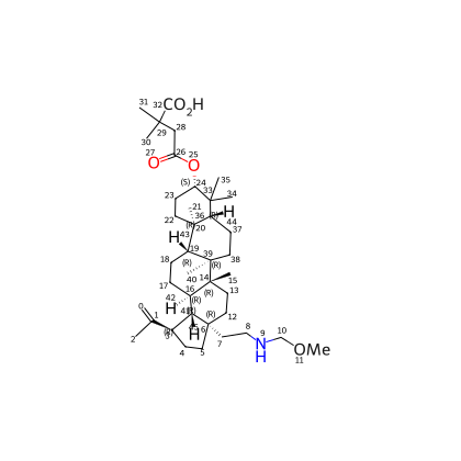 C=C(C)[C@@H]1CC[C@]2(CCNCOC)CC[C@]3(C)[C@H](CC[C@@H]4[C@@]5(C)CC[C@H](OC(=O)CC(C)(C)C(=O)O)C(C)(C)[C@@H]5CC[C@]43C)[C@@H]12